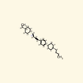 CCCC[C@H]1CC[C@H](c2ccc(C#C/C=C/[C@H]3CC[C@H](CC)CC3)cc2)CC1